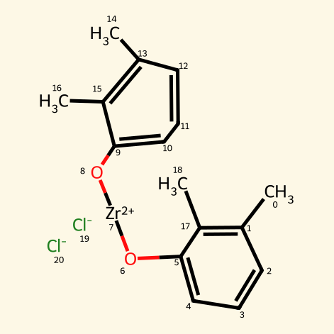 Cc1cccc([O][Zr+2][O]c2cccc(C)c2C)c1C.[Cl-].[Cl-]